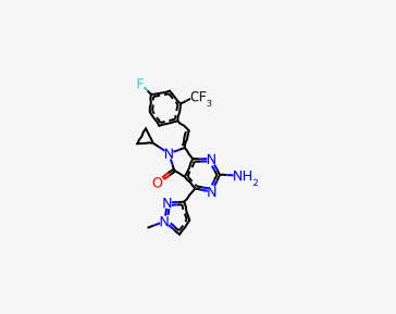 Cn1ccc(-c2nc(N)nc3c2C(=O)N(C2CC2)C3=Cc2ccc(F)cc2C(F)(F)F)n1